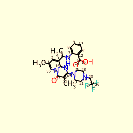 Cc1cc([C@@H](C)Nc2ccccc2C(=O)O)c2nc(N3CCN(CC(F)(F)F)CC3)c(C)c(=O)n2c1